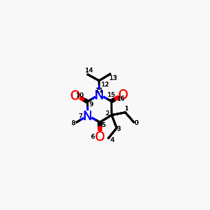 CCC1(CC)C(=O)N(C)C(=O)N(C(C)C)C1=O